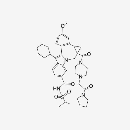 COc1ccc2c(c1)C1CC1(C(=O)N1CCN(CC(=O)N3CCCC3)CC1)Cn1c-2c(C2CCCCC2)c2ccc(C(=O)NS(=O)(=O)C(C)C)cc21